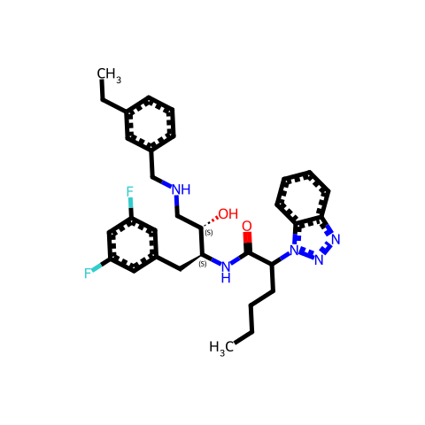 CCCCC(C(=O)N[C@@H](Cc1cc(F)cc(F)c1)[C@@H](O)CNCc1cccc(CC)c1)n1nnc2ccccc21